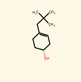 CC(C)(C)CC1=CC[C@H](O)CC1